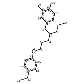 CCCC(CCCOc1ccc(CI)cc1)Cc1ccc(C)c(C)c1